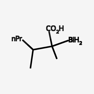 CCCC(C)[C](C)([BiH2])C(=O)O